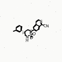 Cc1cccc([C@H]2CNS(=O)(=O)N(c3ccc4c(C#N)nccc4c3)C2)c1